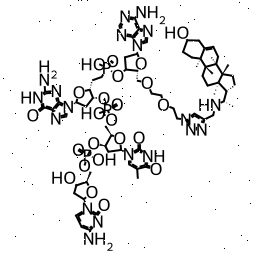 Cc1cn([C@H]2C[C@@H](OP(=O)(O)OC[C@H]3O[C@@H](n4ccc(N)nc4=O)C[C@H]3O)[C@@H](COP(=O)(O)O[C@@H]3C[C@H](n4cnc5c(=O)[nH]c(N)nc54)O[C@@H]3CCP(=O)(O)OC3C[C@H](n4cnc5c(N)ncnc54)O[C@@H]3COCCOCCn3cc(CN[C@@H](C)[C@H]4CC[C@@]5(C)[C@]6(C)CC=C7CC(O)CC[C@]7(C)[C@@]6(C)CC[C@]45C)nn3)O2)c(=O)[nH]c1=O